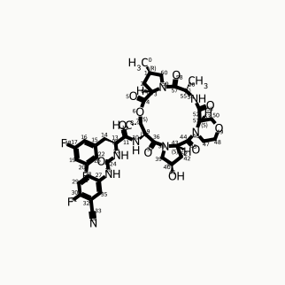 C[C@@H]1C[C@H]2C(=O)O[C@@H](C)[C@H](NC(=O)[C@H](Cc3cc(F)cc(F)c3)NC(=O)Nc3ccc(F)c(C#N)c3)C(=O)N3C[C@H](O)C[C@H]3C(=O)N3CCOC[C@H]3C(=O)N[C@@H](C)C(=O)N2C1